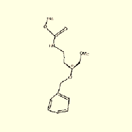 COC[C@H](CCNC(=O)OC(C)(C)C)OCc1ccccc1